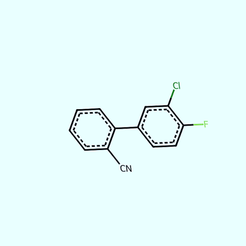 N#Cc1ccccc1-c1ccc(F)c(Cl)c1